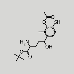 CC(=O)Oc1c(S)ccc(C(O)CCC(N)C(=O)OC(C)(C)C)c1C